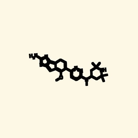 COC1=C2C=c3sc(N)nc3=C2CC=C1c1ccc(N(C)C2CC(C)(C)NC(C)(C)C2)nn1